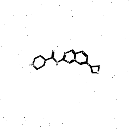 O=C(Nc1cc2cc(C3COC3)ccc2cn1)C1CCNCC1